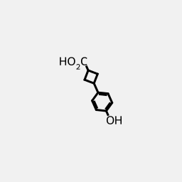 O=C(O)C1CC(c2ccc(O)cc2)C1